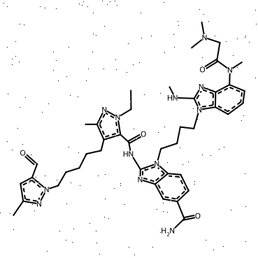 CCn1nc(C)c(CCCCCn2nc(C)cc2C=O)c1C(=O)Nc1nc2cc(C(N)=O)ccc2n1CCCCn1c(NC)nc2c(N(C)C(=O)CN(C)C)cccc21